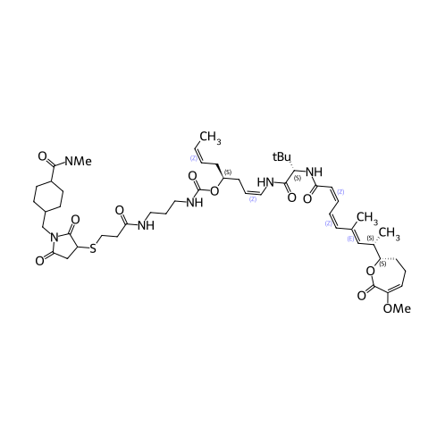 C/C=C\C[C@@H](C/C=C\NC(=O)[C@@H](NC(=O)\C=C/C=C\C(C)=C\[C@H](C)[C@@H]1CCC=C(OC)C(=O)O1)C(C)(C)C)OC(=O)NCCCNC(=O)CCSC1CC(=O)N(CC2CCC(C(=O)NC)CC2)C1=O